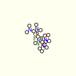 Fc1ccccc1N1c2cc(N(c3ccccc3)c3c(-c4ccccc4)cccc3-c3ccccc3)cc3c2B(c2ccccc2N3c2c(-c3ccccc3)cccc2-c2ccccc2)c2cc3c(c(F)c21)Sc1cc(N(c2ccccc2)c2ccccc2)cc2c1B3c1ccccc1N2c1ccccc1